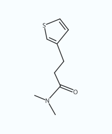 CN(C)C(=O)CCc1ccsc1